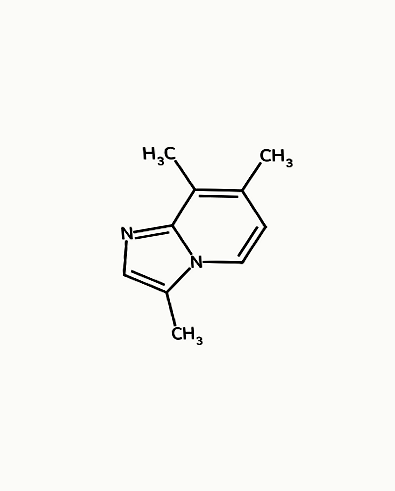 Cc1ccn2c(C)cnc2c1C